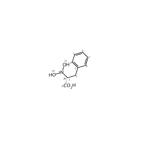 O=C(O)[C@@H](Cc1ccccc1)N(O)O